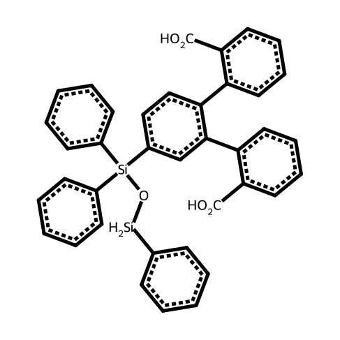 O=C(O)c1ccccc1-c1ccc([Si](O[SiH2]c2ccccc2)(c2ccccc2)c2ccccc2)cc1-c1ccccc1C(=O)O